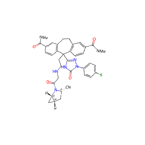 CNC(=O)c1ccc2c(c1)CCc1cc(C(=O)NC)ccc1C2(CCNCC(=O)N1[C@H](C#N)C[C@@H]2C[C@@H]21)c1nn(-c2ccc(F)cc2)c(=O)[nH]1